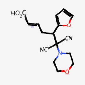 N#CC(C#N)(C(C/C=C/C(=O)O)c1ccco1)N1CCOCC1